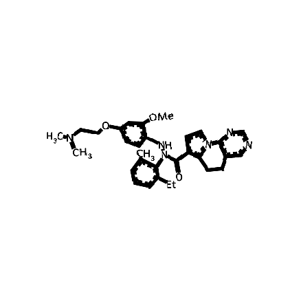 CCc1cccc(C)c1N(Nc1ccc(OCCN(C)C)cc1OC)C(=O)c1ccn2c1CCc1cncnc1-2